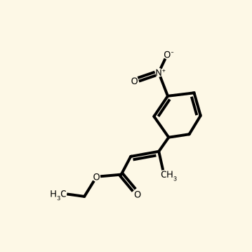 CCOC(=O)/C=C(\C)C1C=C([N+](=O)[O-])C=CC1